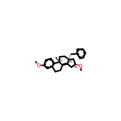 COc1ccc2c(c1)CCC1=C3C[C@H](OC)C[C@]3(Cc3ccccc3)CC[C@]12C